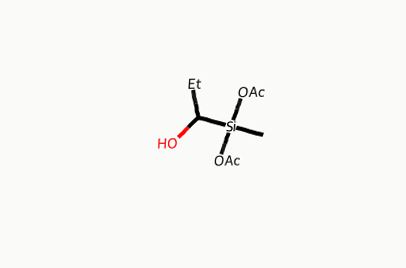 CCC(O)[Si](C)(OC(C)=O)OC(C)=O